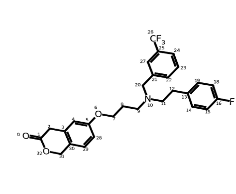 O=C1Cc2cc(OCCCN(CCc3ccc(F)cc3)Cc3cccc(C(F)(F)F)c3)ccc2CO1